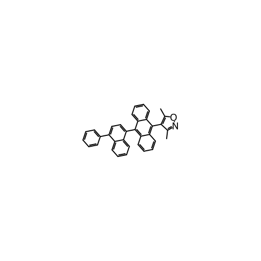 Cc1noc(C)c1-c1c2ccccc2c(-c2ccc(-c3ccccc3)c3ccccc23)c2ccccc12